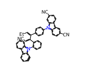 CC/C=C(\C(=C/C#N)c1ccccc1-n1c2c#cccc2c2ccccc21)c1ccc(-n2c3ccc(C#N)cc3c3ccc(C#N)cc32)cc1